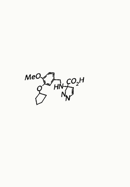 COc1ccc(CNC2(C(=O)O)C=CN=N2)cc1OC1CCCC1